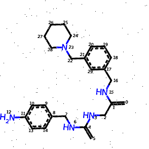 C=C(CNC(=C)NCc1ccc(N)cc1)NCc1cccc(CN2CCCCC2)c1